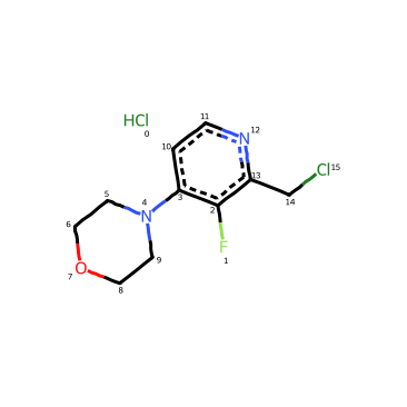 Cl.Fc1c(N2CCOCC2)ccnc1CCl